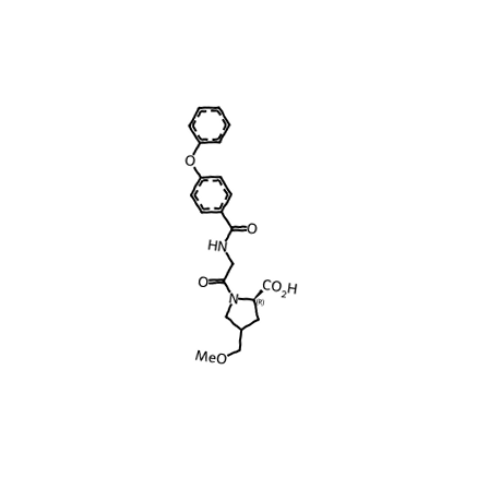 COCC1C[C@H](C(=O)O)N(C(=O)CNC(=O)c2ccc(Oc3ccccc3)cc2)C1